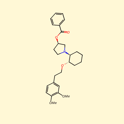 COc1ccc(CCO[C@H]2CCCC[C@@H]2N2CC[C@@H](OC(=O)c3ccccc3)C2)cc1OC